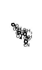 CC.N#Cc1ccc(S(=O)(=O)Nc2cccc(C(c3c(O)cc(CNS(=O)(=O)c4ccccc4)oc3=O)C3CC3)c2)cc1